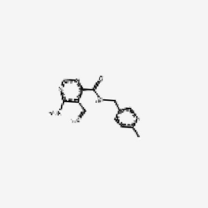 CNc1ncnc(C(=O)NCc2ccc(I)nc2)c1C=N